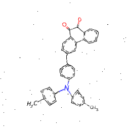 Cc1ccc(N(c2ccc(C)cc2)c2ccc(-c3ccc4c(c3)-c3ccccc3C(=O)C4=O)cc2)cc1